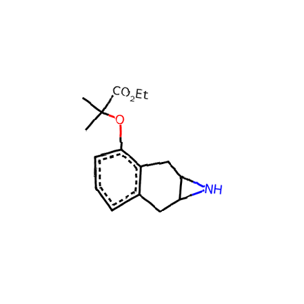 CCOC(=O)C(C)(C)Oc1cccc2c1CC1NC1C2